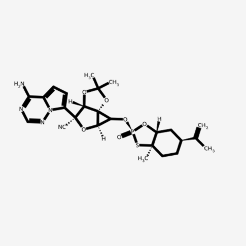 C=C(C)[C@H]1CC[C@@]2(C)S[P@@](=O)(OC3[C@H]4O[C@@](C#N)(c5ccc6c(N)ncnn56)[C@@H]5OC(C)(C)O[C@]345)O[C@@H]2C1